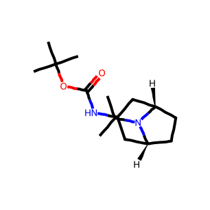 CC(C)N1[C@@H]2CC[C@H]1CC(NC(=O)OC(C)(C)C)C2